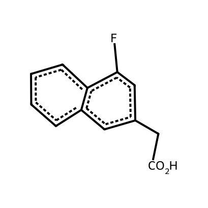 O=C(O)Cc1cc(F)c2ccccc2c1